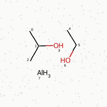 CC(C)O.CCO.[AlH3]